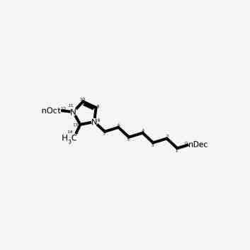 CCCCCCCCCCCCCCCCCN1C=CN(CCCCCCCC)C1C